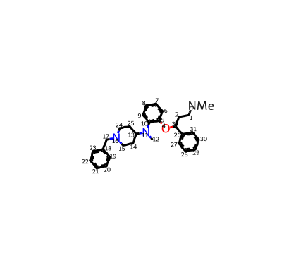 CNCCC(Oc1ccccc1N(C)C1CCN(Cc2ccccc2)CC1)c1ccccc1